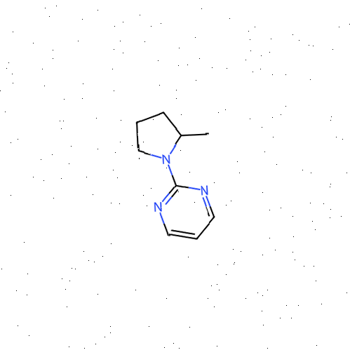 CC1CCCN1c1ncccn1